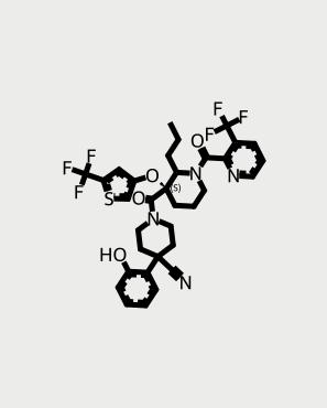 CCCC1N(C(=O)c2ncccc2C(F)(F)F)CCC[C@@]1(Oc1csc(C(F)(F)F)c1)C(=O)N1CCC(C#N)(c2ccccc2O)CC1